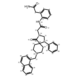 NC(=O)Cc1ccccc1NC(=O)CN1CN(c2ccccc2)C2(CCN(Cc3cccc4ccccc34)CC2)C1=O